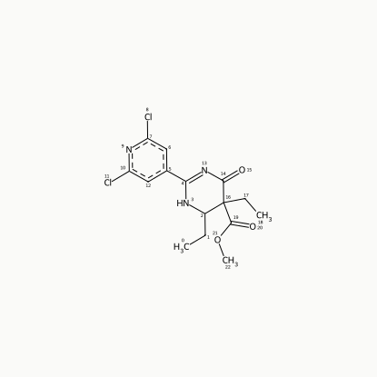 CCC1NC(c2cc(Cl)nc(Cl)c2)=NC(=O)C1(CC)C(=O)OC